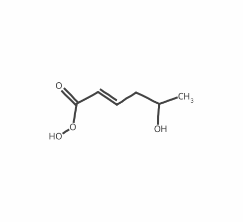 CC(O)CC=CC(=O)OO